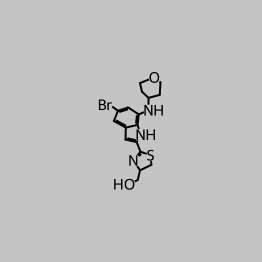 OCC1CSC(c2cc3cc(Br)cc(NC4CCOCC4)c3[nH]2)=N1